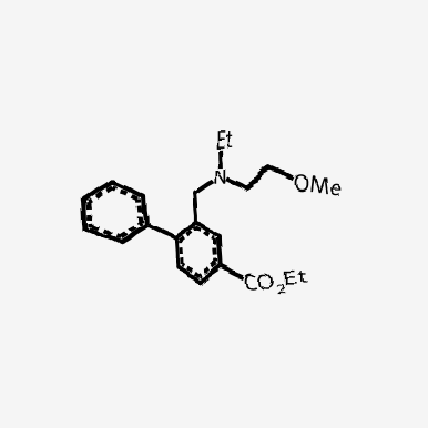 CCOC(=O)c1ccc(-c2ccccc2)c(CN(CC)CCOC)c1